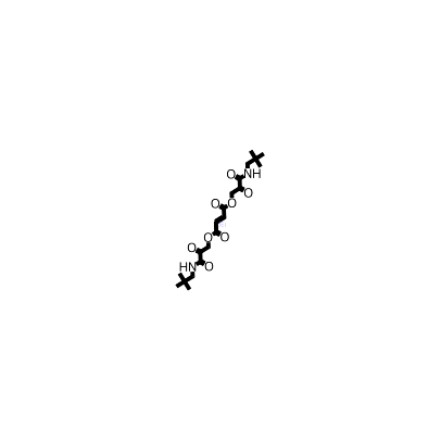 CC(C)(C)CNC(=O)C(=O)COC(=O)/C=C/C(=O)OCC(=O)C(=O)NCC(C)(C)C